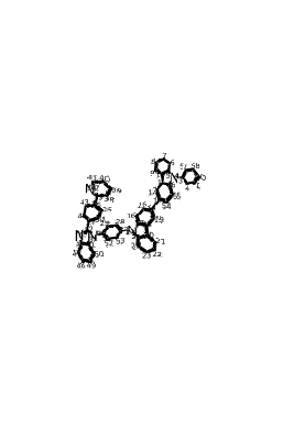 c1ccc(-n2c3ccccc3c3cc(-c4ccc5c(c4)c4ccccc4n5-c4ccc(-n5c(-c6ccc(-c7ccccn7)cc6)nc6ccccc65)cc4)ccc32)cc1